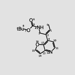 CC=C(CNC(=O)OC(C)(C)C)c1ccnc2ccoc12